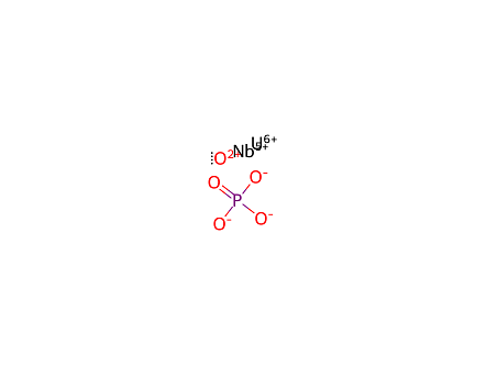 O=P([O-])([O-])[O-].[Nb+5].[O+2].[U+6]